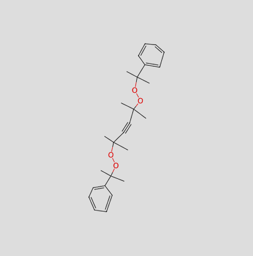 CC(C)(C#CC(C)(C)OOC(C)(C)c1ccccc1)OOC(C)(C)c1ccccc1